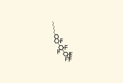 CCCCCCCc1ccc2c(F)c(-c3cc(F)c(-c4ccc(C(F)(F)F)c(F)c4)c(F)c3)ccc2c1